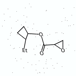 CCC1CCC1OC(=O)C1CO1